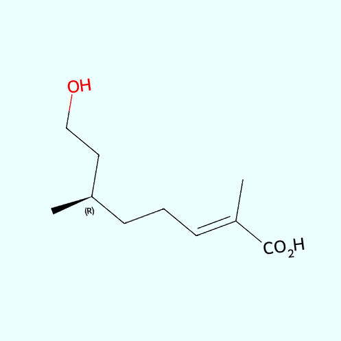 CC(=CCC[C@@H](C)CCO)C(=O)O